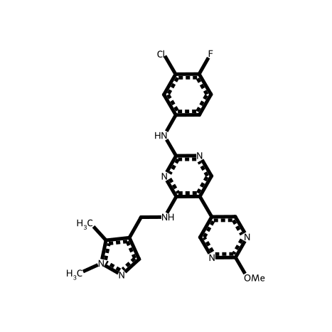 COc1ncc(-c2cnc(Nc3ccc(F)c(Cl)c3)nc2NCc2cnn(C)c2C)cn1